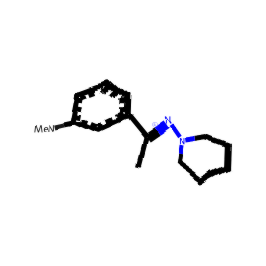 CNc1cccc(/C(C)=N/N2CCCCC2)c1